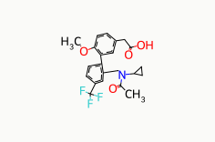 COc1ccc(CC(=O)O)cc1-c1ccc(C(F)(F)F)cc1CN(C(C)=O)C1CC1